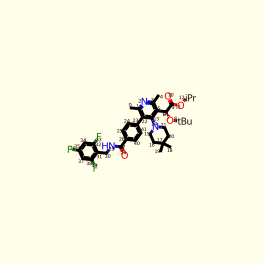 Cc1nc(C)c([C@H](OC(C)(C)C)C(=O)OC(C)C)c(N2CCC(C)(C)CC2)c1-c1ccc(C(=O)NCc2c(F)cc(F)cc2F)cc1